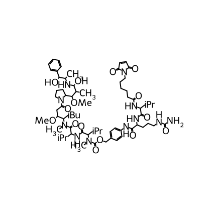 CCC(C)C(C(CC(=O)N1CCCC1C(OC)C(C)C(O)NC(C)C(O)c1ccccc1)OC)N(C)C(=O)C(NC(=O)C(C(C)C)N(C)C(=O)OCc1ccc(NC(=O)C(CCCNC(N)=O)NC(=O)C(NC(=O)CCCCCN2C(=O)C=CC2=O)C(C)C)cc1)C(C)C